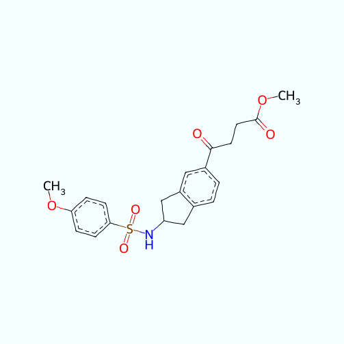 COC(=O)CCC(=O)c1ccc2c(c1)CC(NS(=O)(=O)c1ccc(OC)cc1)C2